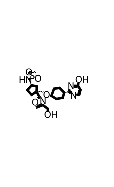 CS(=O)(=O)N[C@H]1CC[C@](CO[C@H]2CC[C@@H](c3nccc(O)n3)CC2)(c2nc(CO)co2)C1